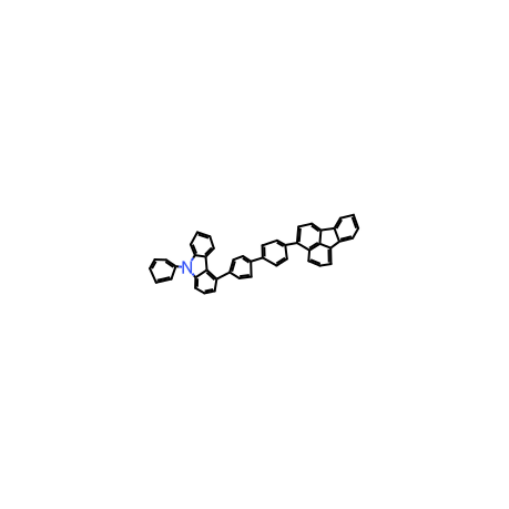 c1ccc(-n2c3ccccc3c3c(-c4ccc(-c5ccc(-c6ccc7c8c(cccc68)-c6ccccc6-7)cc5)cc4)cccc32)cc1